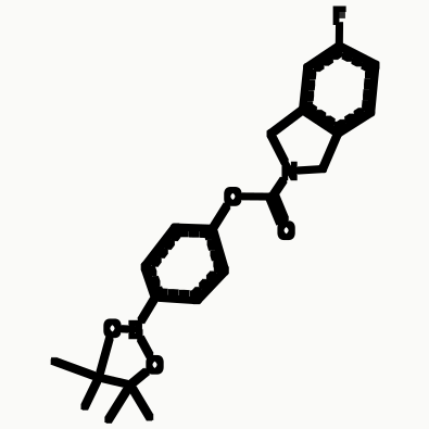 CC1(C)OB(c2ccc(OC(=O)N3Cc4ccc(F)cc4C3)cc2)OC1(C)C